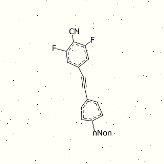 CCCCCCCCCc1ccc(C#Cc2cc(F)c(C#N)c(F)c2)cc1